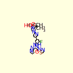 CC(C)(C)C1CN(c2ccc(-c3cc(F)c4cn(C(C(=O)Nc5nccs5)c5ncn6c5CCC6)nc4c3)cn2)CCN1C(=O)O